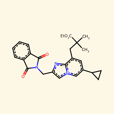 CCOC(=O)C(C)(C)Cc1cc(C2CC2)cn2cc(CN3C(=O)c4ccccc4C3=O)nc12